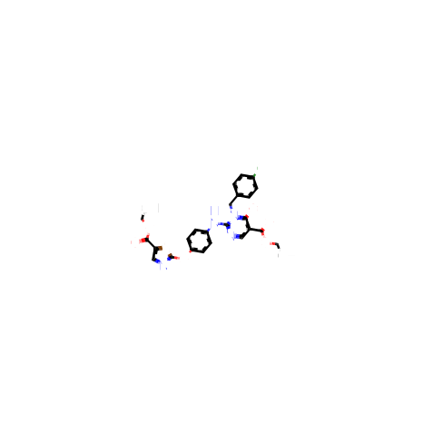 CCOC(=O)c1cnc(Oc2ccc(Nc3ncc(C(=O)OCC)c(=O)n3Cc3ccc(Cl)cc3)cc2)s1